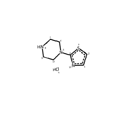 Cl.c1csc(N2CCNCC2)n1